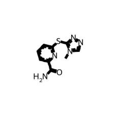 Cn1cnnc1Sc1cccc(C(N)=O)n1